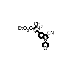 CCOC(=O)c1sc(-c2ccc3c(c2)c(C#N)cn3C2CCOCC2)nc1C